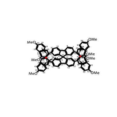 COc1ccc(N(c2ccc3c(c2)C2(c4cc(N(c5ccc(OC)cc5)c5ccccc5OC)ccc4-3)c3cc(N(c4ccc(OC)cc4)c4ccccc4OC)ccc3-c3ccc(N(c4ccc(OC)cc4)c4ccccc4OC)cc32)c2ccccc2OC)cc1